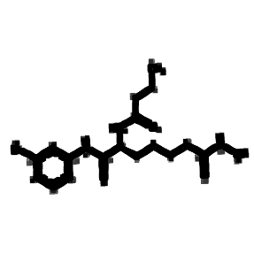 CCCC(=O)N[C@@H](CCCCC(=O)NO)C(=O)Nc1cccc(Br)c1